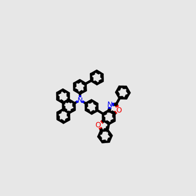 c1ccc(-c2cccc(N(c3ccc(-c4c5nc(-c6ccccc6)oc5cc5c4oc4ccccc45)cc3)c3cc4ccccc4c4ccccc34)c2)cc1